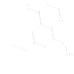 COc1cc(C=O)cc2c1OCCC2=O